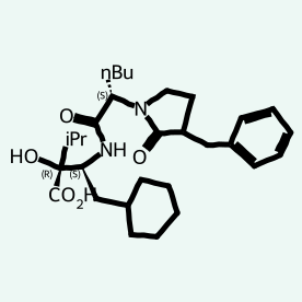 CCCC[C@@H](C(=O)N[C@@H](CC1CCCCC1)[C@@](O)(C(=O)O)C(C)C)N1CCC(Cc2ccccc2)C1=O